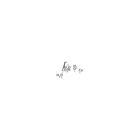 CC(=O)O.O.O.O.[Cu]